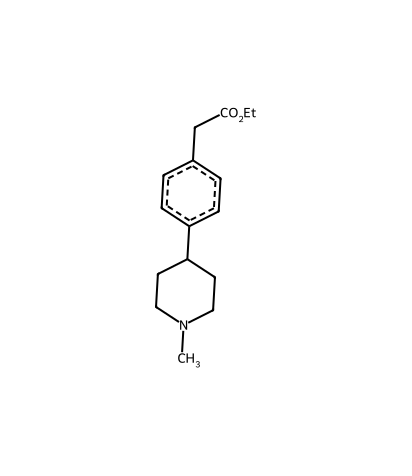 CCOC(=O)Cc1ccc(C2CCN(C)CC2)cc1